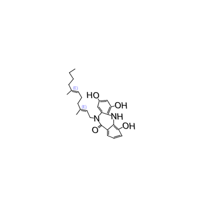 CCCC/C(C)=C/CC/C(C)=C/CN1C(=O)c2cccc(O)c2Nc2c(O)cc(O)cc21